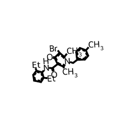 CCc1cccc(CC)c1NC(=O)c1c(C)n(Cc2ccc(C)cc2)c(C)c(Br)c1=O